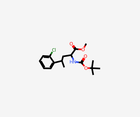 COC(=O)C(CC(C)c1ccccc1Cl)NC(=O)OC(C)(C)C